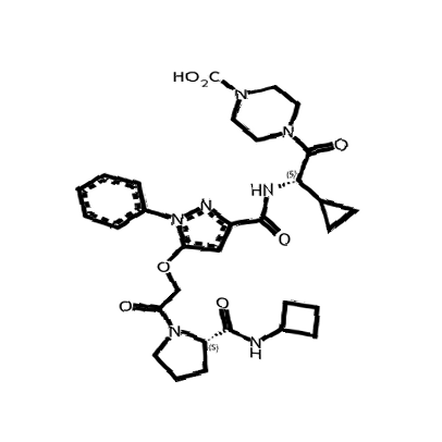 O=C(N[C@H](C(=O)N1CCN(C(=O)O)CC1)C1CC1)c1cc(OCC(=O)N2CCC[C@H]2C(=O)NC2CCC2)n(-c2ccccc2)n1